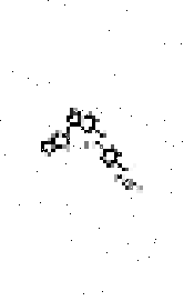 CNC(=O)c1ccc(NC(=O)c2ccn3ncc(-c4cnc5[nH]ccc5c4)c3c2)cc1